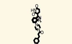 Cn1nc(C2CCC(=O)NC2=O)c2cccc(N3CCN(C(=O)CCC4CCCCC4)CC3)c21